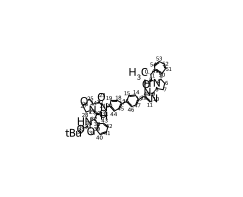 C[C@@H](C(=O)N1CCC[C@H]1c1ncc(-c2ccc(-c3ccc(NC(=O)[C@@H]4COCCN4C(=O)[C@H](NC(=O)OC(C)(C)C)c4ccccc4)cc3)cc2)[nH]1)c1ccccc1